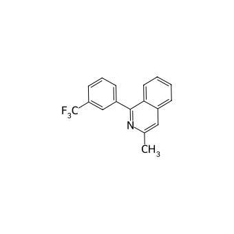 Cc1cc2ccccc2c(-c2cccc(C(F)(F)F)c2)n1